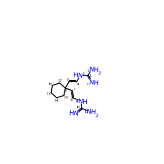 N=C(N)NC=CC1(C=CNC(=N)N)CCCCC1